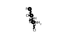 Nc1cc2c(Nc3ccc(OCc4cccc(F)c4)c(Cl)c3)ncnc2cc1OCCCCl